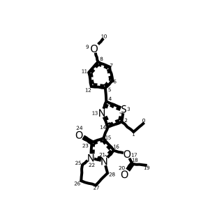 CCc1sc(-c2ccc(OC)cc2)nc1-c1c(OC(C)=O)n2n(c1=O)CCCC2